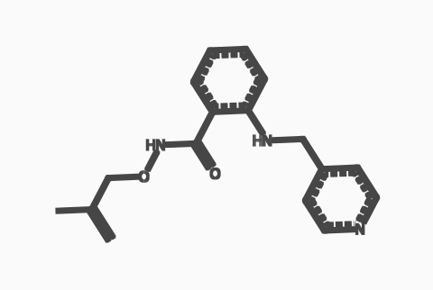 C=C(C)CONC(=O)c1ccccc1NCc1ccncc1